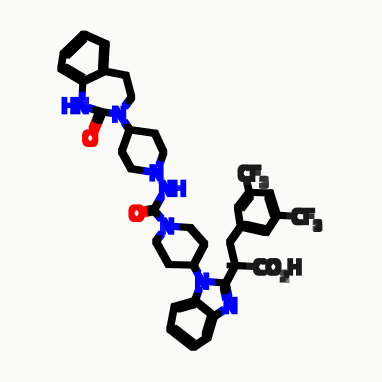 O=C(O)[C](Cc1cc(C(F)(F)F)cc(C(F)(F)F)c1)c1nc2ccccc2n1C1CCN(C(=O)NN2CCC(N3CCc4ccccc4NC3=O)CC2)CC1